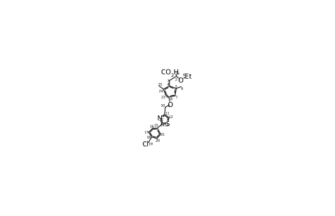 CCOC(Cc1c(C)cc(OCc2csc(-c3ccc(Cl)cc3)n2)cc1C)C(=O)O